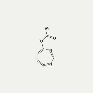 CC(C)C(=O)OC1=CC=C=NC=N1